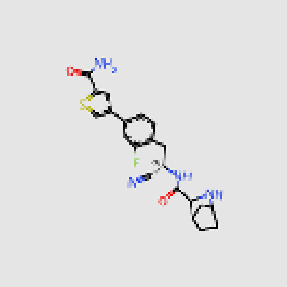 N#C[C@H](Cc1ccc(-c2csc(C(N)=O)c2)cc1F)NC(=O)C1NC2CCC1C2